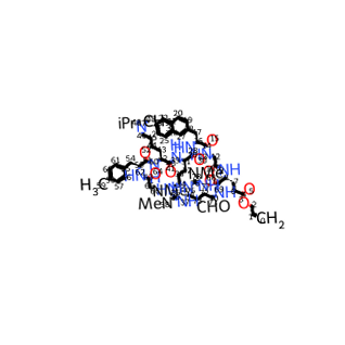 C=CCOC(=O)CC[C@@H](NC(=O)CNC(=O)[C@H](Cc1ccc2ccccc2c1)NC(=O)[C@@H](CCCNC(=N)NC)NC(=O)[C@H](CCCCN(C)C(C)C)NC(=O)[C@H](Cc1ccc(C)cc1)NC(=O)CNC)C(=O)N[C@H](C=O)CCCNC(=N)NC